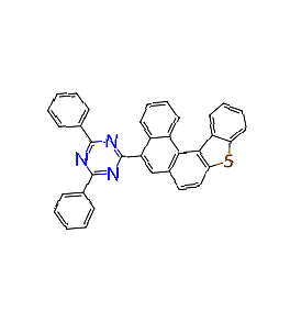 c1ccc(-c2nc(-c3ccccc3)nc(-c3cc4ccc5sc6ccccc6c5c4c4ccccc34)n2)cc1